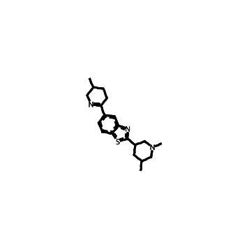 CC1CCC(c2ccc3sc(C4CC(C)CN(C)C4)nc3c2)=NC1